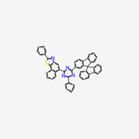 c1ccc(-c2nc(-c3ccc4c(c3)C3(c5ccccc5-c5ccccc53)c3ccccc3-4)nc(-c3cc4nc(-c5ccccc5)sc4c4ccccc34)n2)cc1